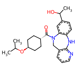 CC(C)O[C@H]1CC[C@H](C(=O)N2Cc3cccnc3Nc3ccc(C(C)O)cc32)CC1